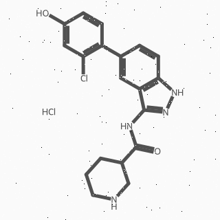 Cl.O=C(Nc1n[nH]c2ccc(-c3ccc(O)cc3Cl)cc12)C1CCCNC1